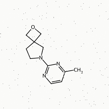 Cc1ccnc(N2CCC3(COC3)C2)n1